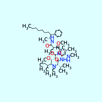 CCCCCCCC(c1ccccc1)[C@@H](C)NC(=O)[C@H](C)[C@@H](OC)[C@@H]1CCCN1C(=O)C[C@@H](OC)[C@H]([C@@H](C)CC)N(C)[C@H](C(=O)NC(=O)[C@@H](NC)C(C)C)C(C)C